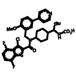 COc1ccc(-c2ccncc2)cc1CN(C(=O)c1sc2c(F)ccc(F)c2c1Cl)C1CCC(C(NC(=O)O)C(C)(C)C)CC1